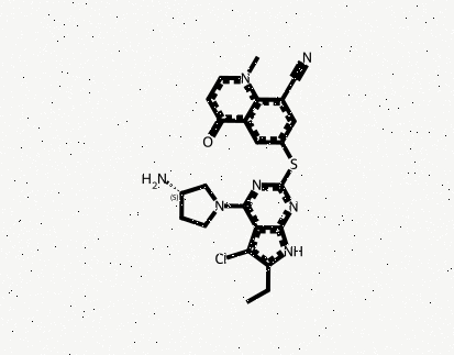 CCc1[nH]c2nc(Sc3cc(C#N)c4c(c3)c(=O)ccn4C)nc(N3CC[C@H](N)C3)c2c1Cl